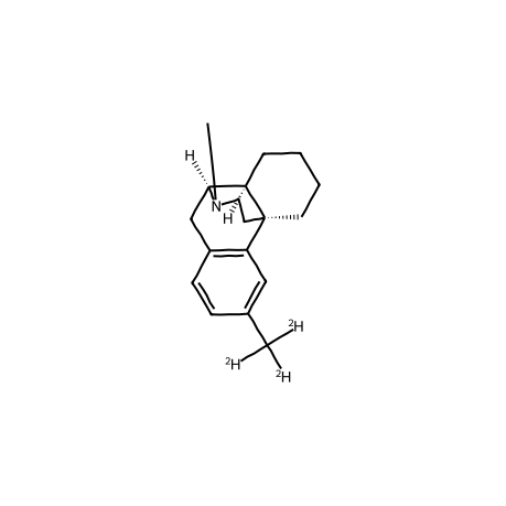 [2H]C([2H])([2H])c1ccc2c(c1)[C@]13CCCC[C@@H]1[C@H](C2)N(C)CC3